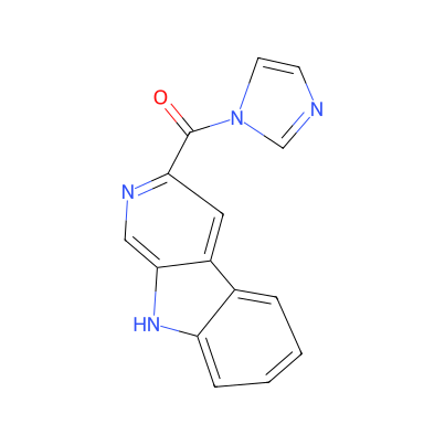 O=C(c1cc2c(cn1)[nH]c1ccccc12)n1ccnc1